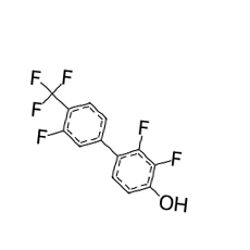 Oc1ccc(-c2ccc(C(F)(F)F)c(F)c2)c(F)c1F